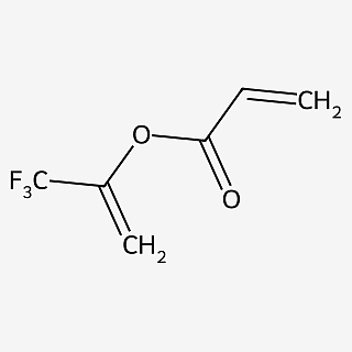 C=CC(=O)OC(=C)C(F)(F)F